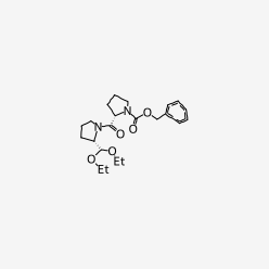 CCOC(OCC)[C@@H]1CCCN1C(=O)[C@@H]1CCCN1C(=O)OCc1ccccc1